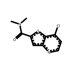 CN(C)C(=O)c1cc2nccc(Cl)c2s1